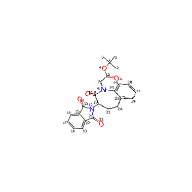 CC(C)(C)OC(=O)CN1C(=O)C(N2C(=O)c3ccccc3C2=O)CCc2ccccc21